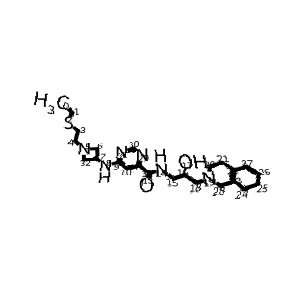 CCSCCN1CC(Nc2cc(C(=O)NC[C@H](O)CN3CCC4=C(CCC=C4)C3)ncn2)C1